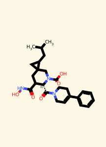 CC(C)CC1CC12CC(C(=O)NO)[C@@H](C(=O)N1CC=C(c3ccccc3)CC1)N(C(=O)O)C2